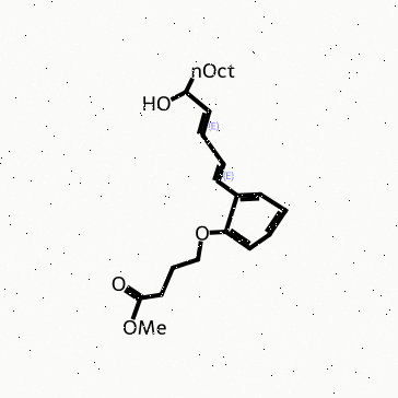 CCCCCCCCC(O)/C=C/C=C/c1ccccc1OCCCC(=O)OC